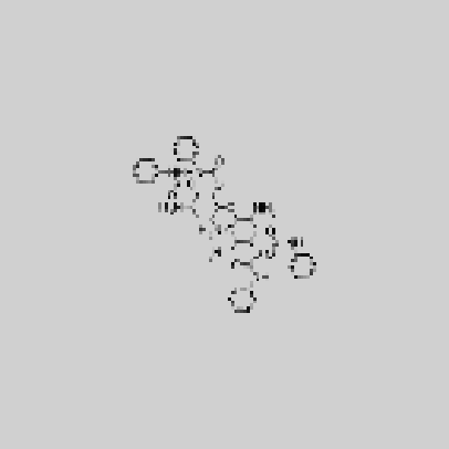 NCC1OC(OC2C(N)CC(N)C(OC(=O)Nc3ccccc3)C2OC(=O)Nc2ccccc2)C(N)C(OC(=O)Nc2ccccc2)C1OC(=O)Nc1ccccc1